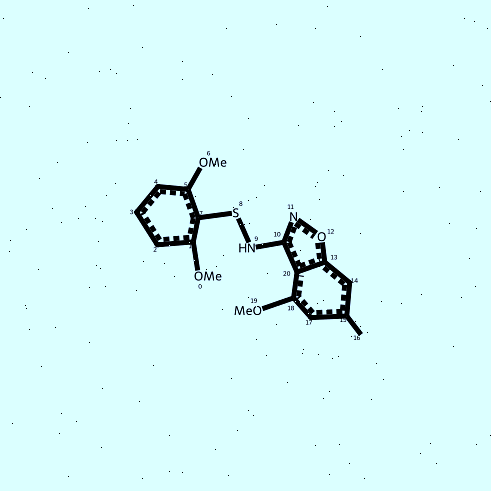 COc1cccc(OC)c1SNc1noc2cc(C)cc(OC)c12